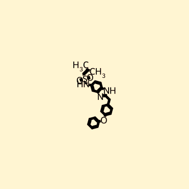 CC(C)=CS(=O)(=O)Nc1ccc2[nH]c(Cc3ccc(Oc4ccccc4)cc3)nc2c1